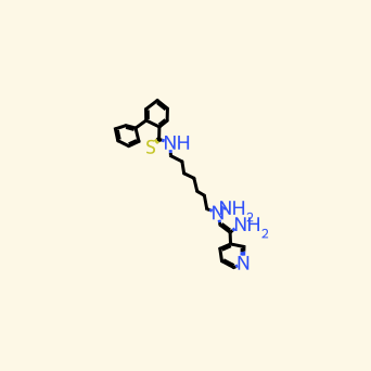 N/C(=C\N(N)CCCCCCCNC(=S)c1ccccc1-c1ccccc1)c1cccnc1